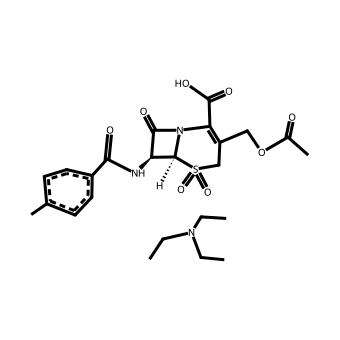 CC(=O)OCC1=C(C(=O)O)N2C(=O)[C@H](NC(=O)c3ccc(C)cc3)[C@@H]2S(=O)(=O)C1.CCN(CC)CC